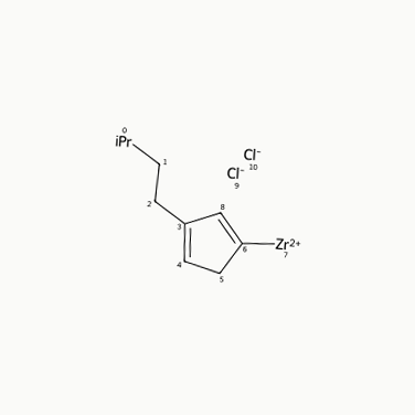 CC(C)CCC1=CC[C]([Zr+2])=C1.[Cl-].[Cl-]